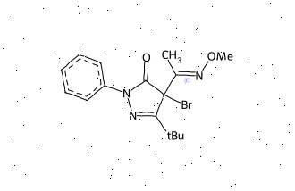 CO/N=C(\C)C1(Br)C(=O)N(c2ccccc2)N=C1C(C)(C)C